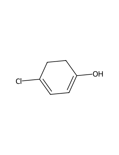 OC1=CC=C(Cl)CC1